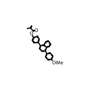 C=C(C)C(=O)Oc1ccc(-c2ccc(-c3ccc(OC)cc3)c3ccccc23)cc1